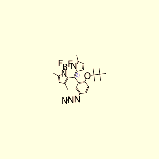 CC1=N/C(=C(/c2cc(N=[N+]=[N-])ccc2OC(C)(C)C(C)(C)C)c2c(C)cc(C)n2B(F)F)C=C1